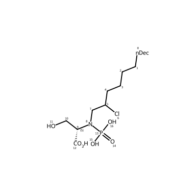 CCCCCCCCCCCCCCC(Cl)CN([C@@H](CO)C(=O)O)P(=O)(O)O